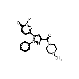 CC(C)n1nc(-c2cc(C(=O)N3CCN(C)CC3)nn2-c2ccccc2)ccc1=O